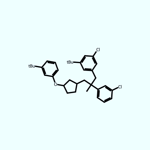 CC(C)(C)c1cc(Cl)cc(CC(C)(CC2CCC(Oc3cccc(C(C)(C)C)c3)C2)c2cccc(Cl)c2)c1